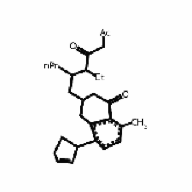 CCCC(CC1CC(=O)c2c(C)ccc(C3C=CCC3)c2C1)C(CC)C(=O)CC(C)=O